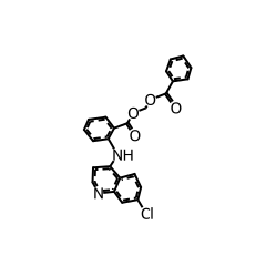 O=C(OCOC(=O)c1ccccc1Nc1ccnc2cc(Cl)ccc12)c1ccccc1